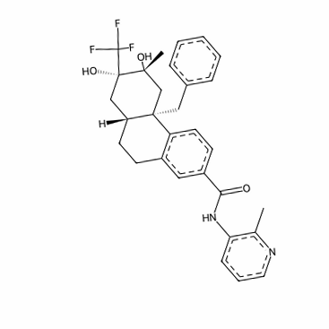 Cc1ncccc1NC(=O)c1ccc2c(c1)CC[C@@H]1C[C@@](O)(C(F)(F)F)[C@](C)(O)C[C@@]21Cc1ccccc1